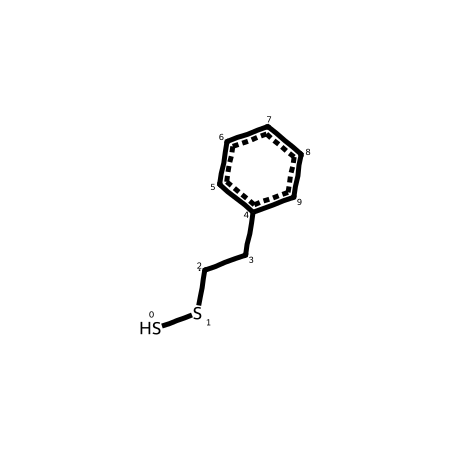 SS[CH]Cc1ccccc1